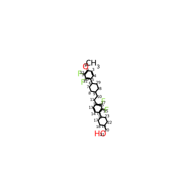 COc1ccc(C2CCC(CCc3ccc(C4CCC(CO)CC4)c(F)c3F)CC2)c(F)c1F